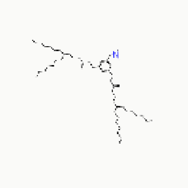 C=C(CCCC(CCCCCCC)CCCCCCC)CCc1cc(CCC(=C)CCCC(CCCCCCC)CCCCCCC)cc(CN(C)C)c1